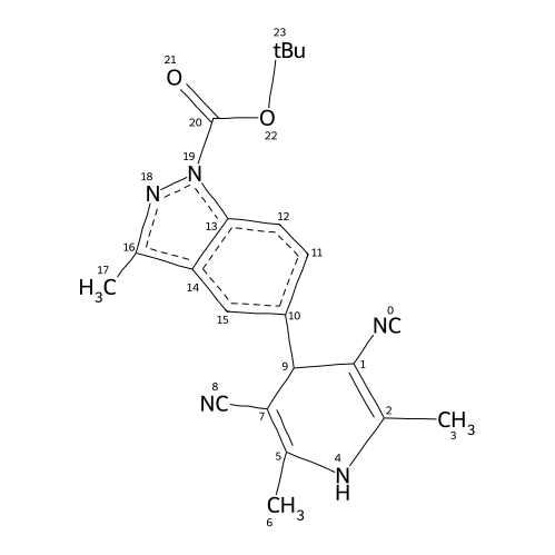 [C-]#[N+]C1=C(C)NC(C)=C(C#N)C1c1ccc2c(c1)c(C)nn2C(=O)OC(C)(C)C